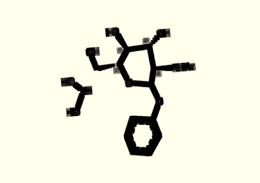 CC(=O)N[C@H]1C(Oc2ccccc2)O[C@H](CO)[C@@H](O)[C@@H]1O.OBO